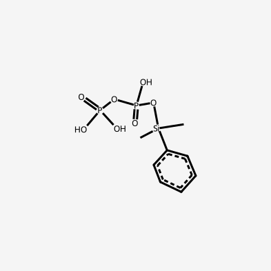 C[Si](C)(OP(=O)(O)OP(=O)(O)O)c1ccccc1